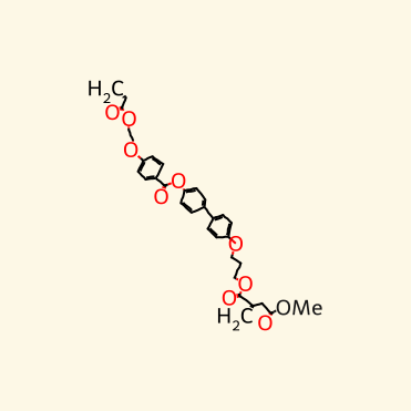 C=CC(=O)OCCOc1ccc(C(=O)Oc2ccc(-c3ccc(OCCCOC(=O)C(=C)CC(=O)OC)cc3)cc2)cc1